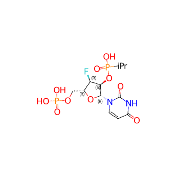 CC(C)P(=O)(O)O[C@@H]1[C@H](F)[C@@H](COP(=O)(O)O)O[C@H]1n1ccc(=O)[nH]c1=O